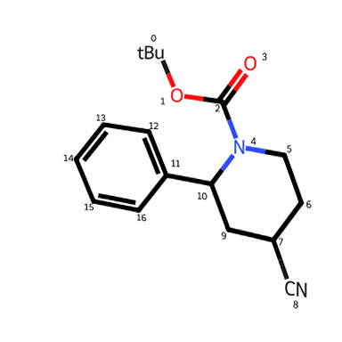 CC(C)(C)OC(=O)N1CCC(C#N)CC1c1ccccc1